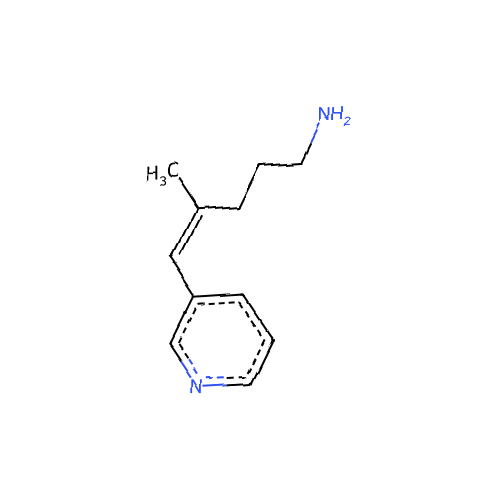 CC(=Cc1cccnc1)CCCN